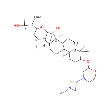 CC(=O)OC(C1C[C@@H](C)[C@H]2C(O1)[C@H](O)[C@@]1(C)C3CC[C@H]4C(C)(C)C(OC5CN(C6CN(C(C)=O)C6)CCO5)CCC45CC35CCC21C)C(C)(C)O